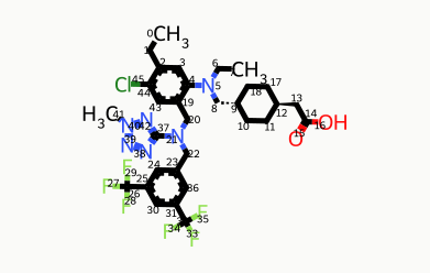 CCc1cc(N(CC)C[C@H]2CC[C@H](CC(=O)O)CC2)c(CN(Cc2cc(C(F)(F)F)cc(C(F)(F)F)c2)c2nnn(C)n2)cc1Cl